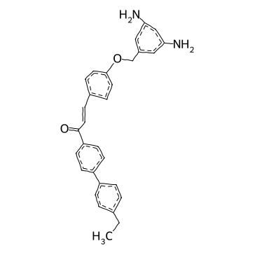 CCc1ccc(-c2ccc(C(=O)/C=C/c3ccc(OCc4cc(N)cc(N)c4)cc3)cc2)cc1